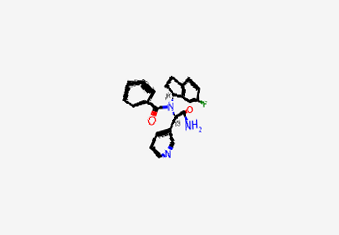 NC(=O)[C@H](c1cccnc1)N(C(=O)c1ccccc1)[C@@H]1CCc2ccc(F)cc21